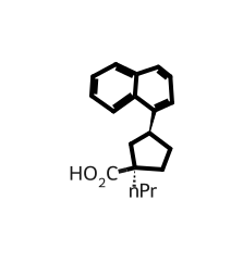 CCC[C@@]1(C(=O)O)CC[C@H](c2cccc3ccccc23)C1